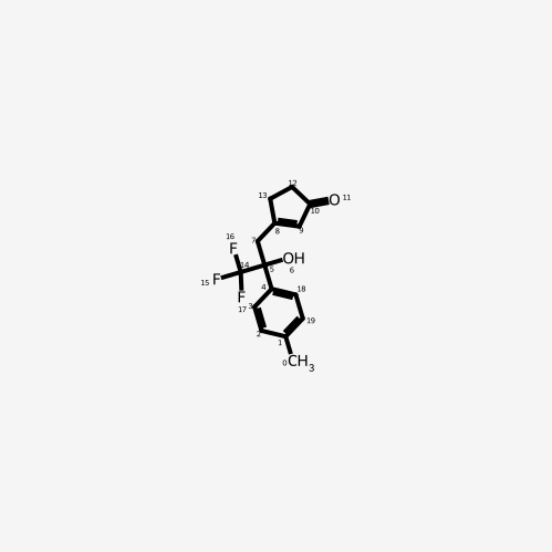 Cc1ccc(C(O)(CC2=CC(=O)CC2)C(F)(F)F)cc1